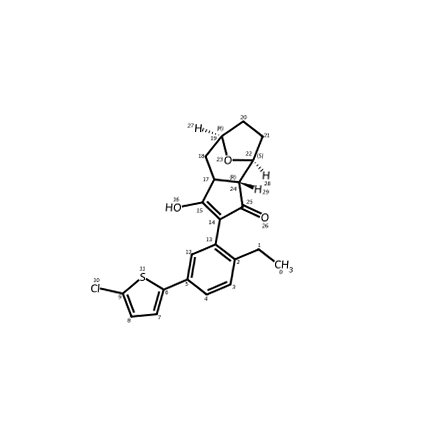 CCc1ccc(-c2ccc(Cl)s2)cc1C1=C(O)C2C[C@H]3CC[C@H](O3)[C@@H]2C1=O